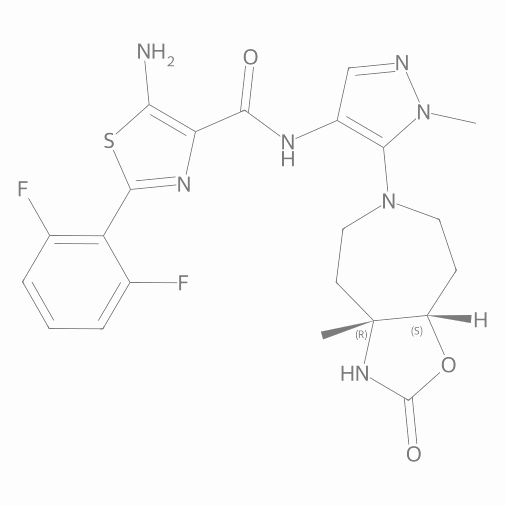 Cn1ncc(NC(=O)c2nc(-c3c(F)cccc3F)sc2N)c1N1CC[C@@H]2OC(=O)N[C@]2(C)CC1